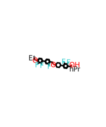 CCCC(O)c1ccc(C2CCC(OCc3ccc(-c4ccc(OCC)c(F)c4F)cc3F)CC2)c(F)c1F